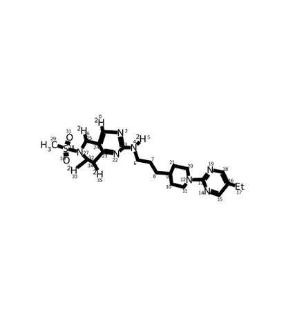 [2H]c1nc(N([2H])CCCC2CCN(c3ncc(CC)cn3)CC2)nc2c1C([2H])N(S(C)(=O)=O)C([2H])C2[2H]